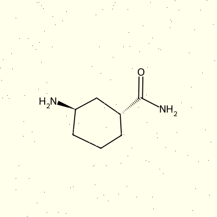 NC(=O)[C@@H]1CCC[C@@H](N)C1